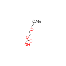 COCCOCCOC(=O)CO